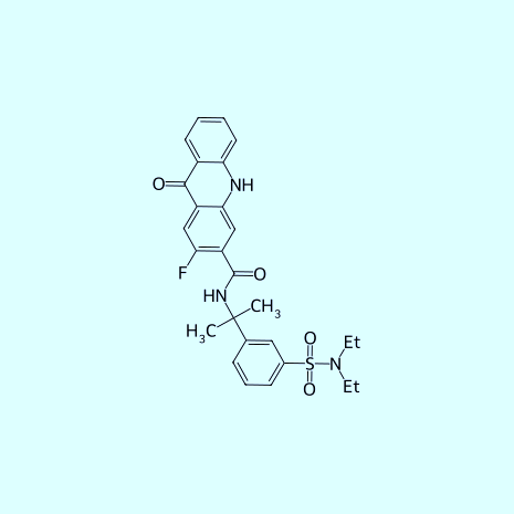 CCN(CC)S(=O)(=O)c1cccc(C(C)(C)NC(=O)c2cc3[nH]c4ccccc4c(=O)c3cc2F)c1